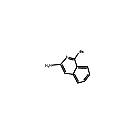 CC(C)(C)c1nc(N)cc2ccccc12